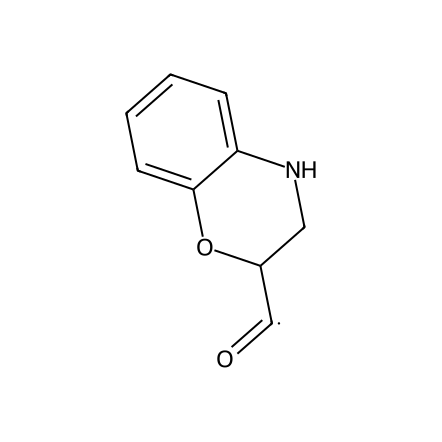 O=[C]C1CNc2ccccc2O1